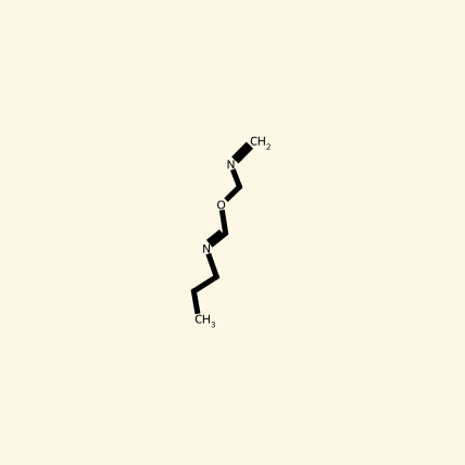 C=NCO/C=N/CCC